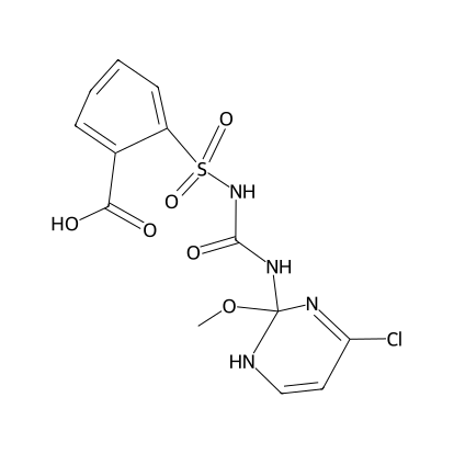 COC1(NC(=O)NS(=O)(=O)c2ccccc2C(=O)O)N=C(Cl)C=CN1